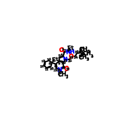 CCNC(=O)c1cc2c(C3(CC)C=CC=CC3)cn(C)c(=O)c2n1COCC[Si](C)(C)C